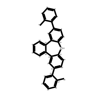 Cc1ccccc1-c1ccc2c(c1)-c1ccccc1-c1cc(-c3ccccc3C)ccc1O2